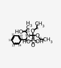 CCOC(OCC)(N(Cc1ccccc1)C(C)O)P(=O)(O)O